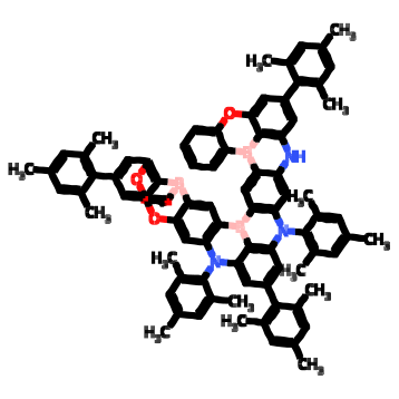 Cc1cc(C)c(-c2cc3c4c(c2)Oc2ccccc2B4c2cc4c(cc2N3)N(c2c(C)cc(C)cc2C)c2cc(-c3c(C)cc(C)cc3C)cc3c2B4c2cc4c(cc2N3c2c(C)cc(C)cc2C)Oc2cc(-c3c(C)cc(C)cc3C)cc3c2B4c2ccccc2O3)c(C)c1